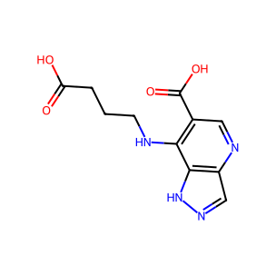 O=C(O)CCCNc1c(C(=O)O)cnc2cn[nH]c12